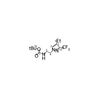 CCc1cn(CCNC(=O)OC(C)(C)C)nc1C(F)(F)F